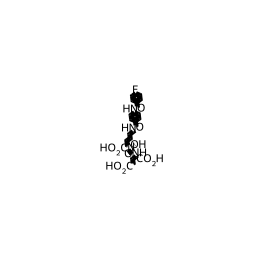 O=C(O)CC[C@H](NC(=O)N(O)[C@@H](CCCCNC(=O)c1ccc(NC(=O)c2ccc(F)cc2)cc1)C(=O)O)C(=O)O